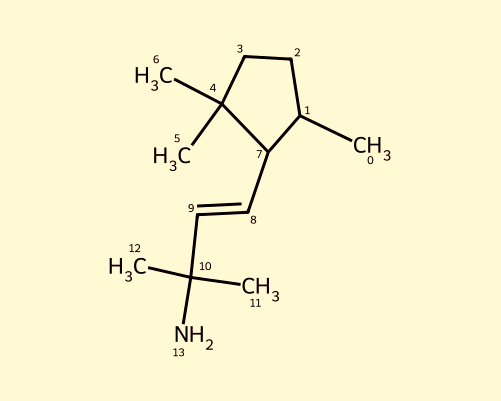 CC1CCC(C)(C)C1/C=C/C(C)(C)N